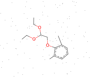 CCOC(COc1c(C)cccc1C)OCC